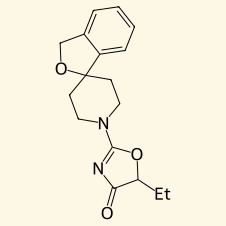 CCC1OC(N2CCC3(CC2)OCc2ccccc23)=NC1=O